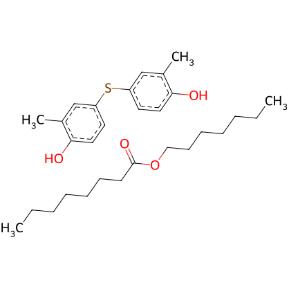 CCCCCCCOC(=O)CCCCCCC.Cc1cc(Sc2ccc(O)c(C)c2)ccc1O